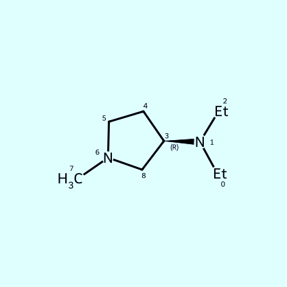 CCN(CC)[C@@H]1CCN(C)C1